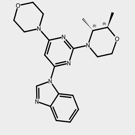 C[C@@H]1[C@@H](C)OCCN1c1nc(N2CCOCC2)cc(-n2cnc3ccccc32)n1